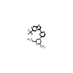 CCC1CN(c2ccnc(-c3cnc4cnc(C(F)(F)F)cn34)n2)CC(C)O1